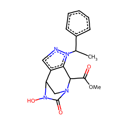 COC(=O)C1c2c(cnn2C(C)c2ccccc2)C2CN1C(=O)N2O